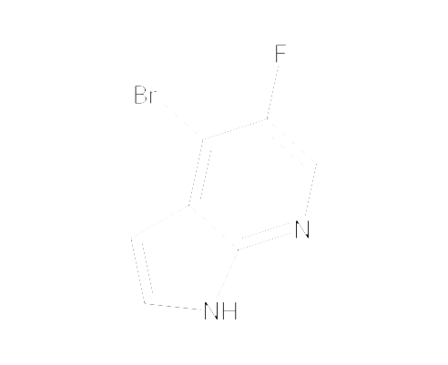 Fc1cnc2[nH]ccc2c1Br